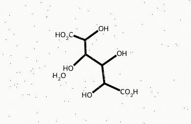 O.O=C(O)C(O)C(O)C(O)C(O)C(=O)O